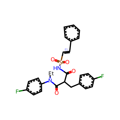 CCN(C(=O)C(Cc1ccc(F)cc1)C(=O)NS(=O)(=O)/C=C/c1ccccc1)c1ccc(F)cc1